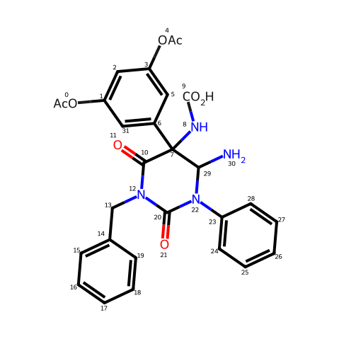 CC(=O)Oc1cc(OC(C)=O)cc(C2(NC(=O)O)C(=O)N(Cc3ccccc3)C(=O)N(c3ccccc3)C2N)c1